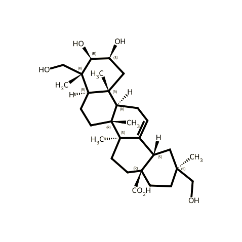 C[C@]1(CO)CC[C@]2(C(=O)O)CC[C@]3(C)C(=CC[C@@H]4[C@@]5(C)C[C@H](O)[C@H](O)[C@@](C)(CO)[C@@H]5CC[C@]43C)[C@@H]2C1